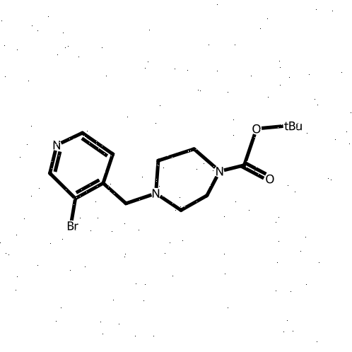 CC(C)(C)OC(=O)N1CCN(Cc2ccncc2Br)CC1